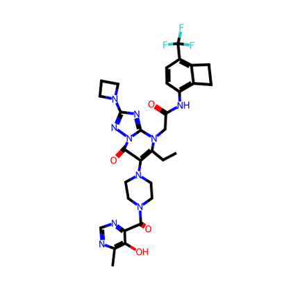 CCc1c(N2CCN(C(=O)c3ncnc(C)c3O)CC2)c(=O)n2nc(N3CCC3)nc2n1CC(=O)Nc1ccc(C(F)(F)F)c2c1CC2